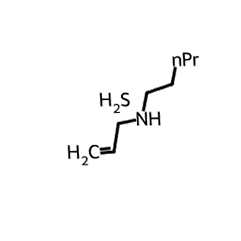 C=CCNCCCCC.S